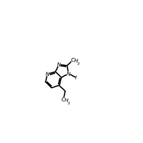 CCc1ccnc2nc(C)n(I)c12